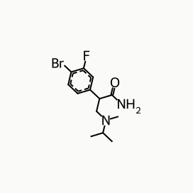 CC(C)N(C)CC(C(N)=O)c1ccc(Br)c(F)c1